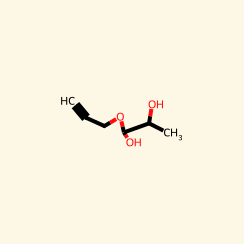 C#CCOC(O)C(C)O